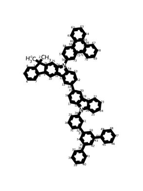 CC1(C)c2ccccc2-c2cc3c4cc(-c5ccc6c(c5)c5ccccc5n6-c5cccc(-c6cc(-c7ccccc7)cc(-c7ccccc7)c6)c5)ccc4n(-c4ccc5c6ccccc6c6ccccc6c5c4)c3cc21